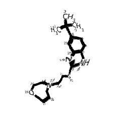 CC(C)(C)c1ccc2[nH]c(SCCN3CCOCC3)nc2c1